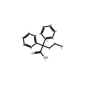 O=C(O)C(CCBr)(c1ccccc1)c1ccccc1